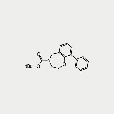 CC(C)(C)OC(=O)N1CCOc2c(cccc2-c2ccccc2)C1